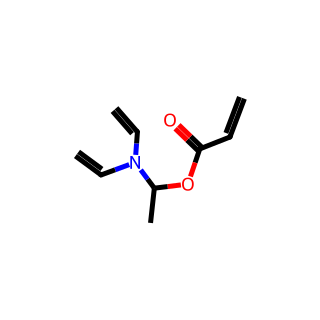 C=CC(=O)OC(C)N(C=C)C=C